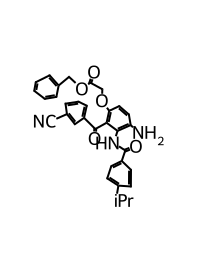 CC(C)c1ccc(C(=O)Nc2c(N)ccc(OCC(=O)OCc3ccccc3)c2C(=O)c2cccc(C#N)c2)cc1